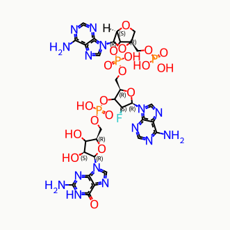 Nc1nc2c(ncn2[C@@H]2O[C@H](COP(=O)(O)OC3[C@@H](COP(=O)(O)OC4[C@@H]5OC[C@]4(COP(=O)(O)O)O[C@H]5n4cnc5c(N)ncnc54)O[C@@H](n4cnc5c(N)ncnc54)[C@H]3F)C(O)[C@@H]2O)c(=O)[nH]1